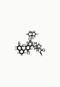 C=CC(=O)N1CC[C@H]2[C@H]1CN2c1nc(OCC23CCCN2CCC3)nc2cc(-c3cccc4ccc(F)c(Cl)c34)c(Cl)cc12